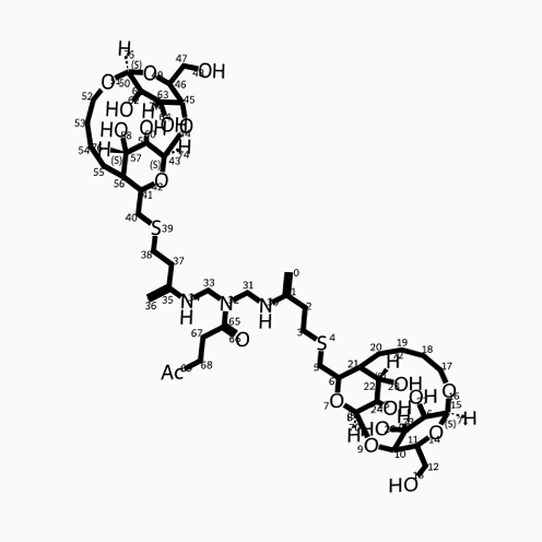 C=C(CCSCC1O[C@@H]2OC3C(CO)O[C@H](OCCCCC1[C@H](O)C2O)C(O)[C@H]3O)NCN(CNC(=C)CCSCC1O[C@@H]2OC3C(CO)O[C@H](OCCCCC1[C@H](O)C2O)C(O)[C@H]3O)C(=O)CCC(C)=O